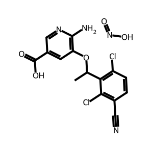 CC(Oc1cc(C(=O)O)cnc1N)c1c(Cl)ccc(C#N)c1Cl.O=NO